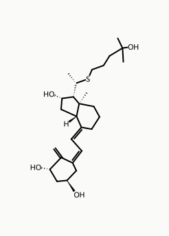 C=C1C(=CC=C2CCC[C@]3(C)[C@@H]([C@H](C)SCCCC(C)(C)O)[C@@H](O)C[C@@H]23)C[C@@H](O)C[C@@H]1O